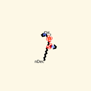 CCCCCCCCCCCCCCCCCCOCC(COP(=O)([O-])OCC[N+]1(C)CCCC1)OC(=O)N1CCCC1